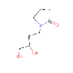 O=C1CCCN1CCC(O)CO